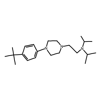 CC(C)N(CCN1CCN(c2ccc(C(C)(C)C)cc2)CC1)C(C)C